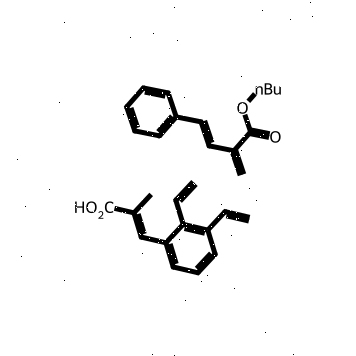 C=C(C=Cc1ccccc1)C(=O)OCCCC.C=Cc1cccc(C=C(C)C(=O)O)c1C=C